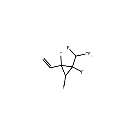 C=CC1(F)C(F)C1(F)C(F)C(F)(F)F